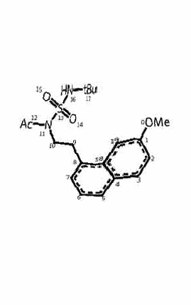 COc1ccc2cccc(CCN(C(C)=O)S(=O)(=O)NC(C)(C)C)c2c1